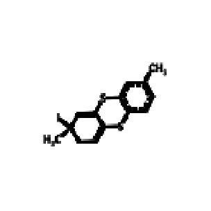 Cc1ccc2c(c1)SC1=C[C@@](C)(I)CC=C1S2